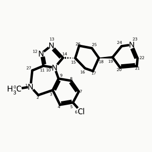 CN1Cc2cc(Cl)ccc2-n2c(nnc2[C@H]2CC[C@H](C3C=CC=NC3)CC2)C1